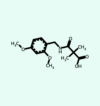 COc1ccc(CNC(=O)C(C)(C)C(=O)O)c(OC)c1